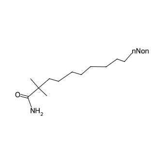 CCCCCCCCCCCCCCCCCC(C)(C)C(N)=O